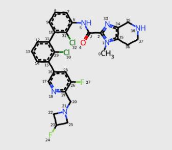 Cn1c(C(=O)Nc2cccc(-c3cccc(-c4cnc(CN5CC(F)C5)c(F)c4)c3Cl)c2Cl)nc2c1CCNC2